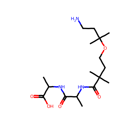 CC(NC(=O)C(C)NC(=O)C(C)(C)CCOC(C)(C)CCN)C(=O)O